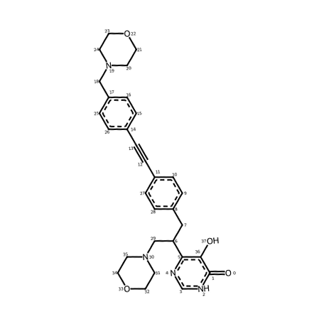 O=c1[nH]cnc(C(Cc2ccc(C#Cc3ccc(CN4CCOCC4)cc3)cc2)CN2CCOCC2)c1O